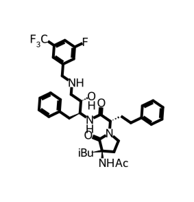 CC[C@H](C)[C@@]1(NC(C)=O)CCN([C@@H](CCc2ccccc2)C(=O)N[C@@H](Cc2ccccc2)[C@@H](O)CNCc2cc(F)cc(C(F)(F)F)c2)C1=O